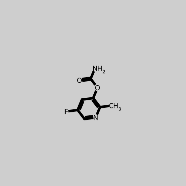 Cc1ncc(F)cc1OC(N)=O